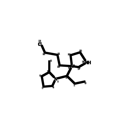 CCC(N1CCCC1C)[N+]1(CCCCl)CCNC1